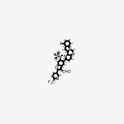 CN(c1cc2oc(-c3ccc(C(F)(F)F)nc3)c(C=O)c2cc1-c1ccc2ncn3c4cccc(F)c4cc3c2n1)S(C)(=O)=O